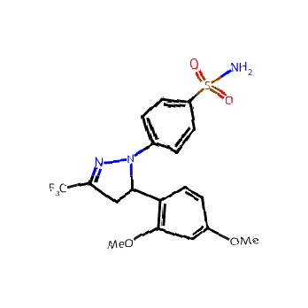 COc1ccc(C2CC(C(F)(F)F)=NN2c2ccc(S(N)(=O)=O)cc2)c(OC)c1